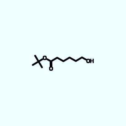 CC(C)(C)OC(=O)CCCCCO